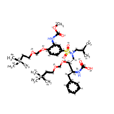 COC(=O)Nc1cc(S(=O)(=O)N(CC(C)C)C[C@@H](OCOCC[Si](C)(C)C)[C@H](Cc2ccccc2)NC(=O)O)ccc1OCOCC[Si](C)(C)C